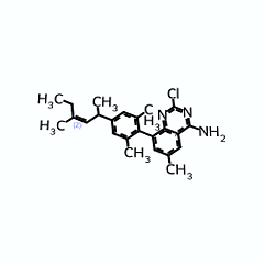 CC/C(C)=C\C(C)c1cc(C)c(-c2cc(C)cc3c(N)nc(Cl)nc23)c(C)c1